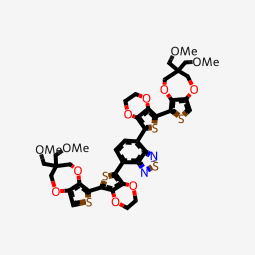 COCC1(COC)COc2csc(-c3sc(-c4ccc(-c5sc(-c6scc7c6OCC(COC)(COC)CO7)c6c5OCCO6)c5nsnc45)c4c3OCCO4)c2OC1